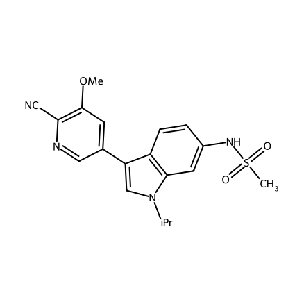 COc1cc(-c2cn(C(C)C)c3cc(NS(C)(=O)=O)ccc23)cnc1C#N